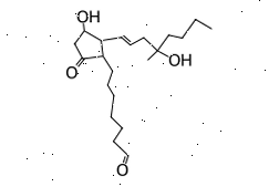 CCCCC(C)(O)C/C=C/C1C(O)CC(=O)C1CCCCCCC=O